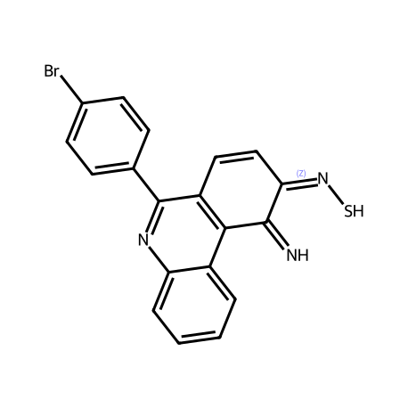 N=C1/C(=N\S)C=Cc2c(-c3ccc(Br)cc3)nc3ccccc3c21